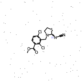 COC(=O)c1ccc(Cl)c(CN2CCS/C2=N\C#N)c1Cl